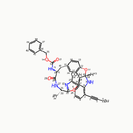 CCCCC#Cc1cccc2c1N[C@H]1Oc3ccc4cc3C21c1oc(nc1C(=O)O)[C@H](C(C)C)NC(=O)[C@@H](NC(=O)OCc1ccccc1)C4